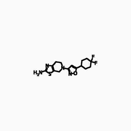 Nc1nc2c(s1)CN(c1cc(C3CCC(F)(F)CC3)on1)CC2